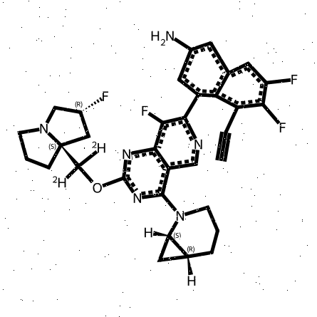 [2H]C([2H])(Oc1nc(N2CCC[C@@H]3C[C@@H]32)c2cnc(-c3cc(N)cc4cc(F)c(F)c(C#C)c34)c(F)c2n1)[C@@]12CCCN1C[C@H](F)C2